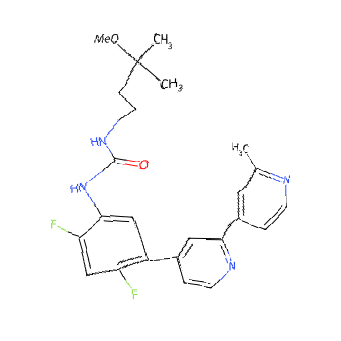 COC(C)(C)CCNC(=O)Nc1cc(-c2ccnc(-c3ccnc(C)c3)c2)c(F)cc1F